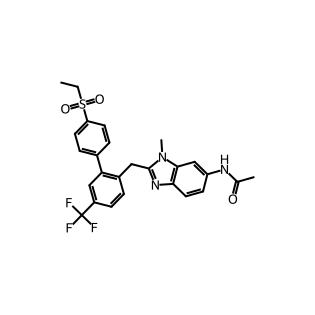 CCS(=O)(=O)c1ccc(-c2cc(C(F)(F)F)ccc2Cc2nc3ccc(NC(C)=O)cc3n2C)cc1